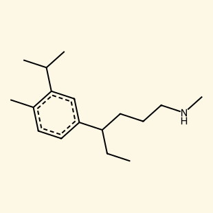 CCC(CCCNC)c1ccc(C)c(C(C)C)c1